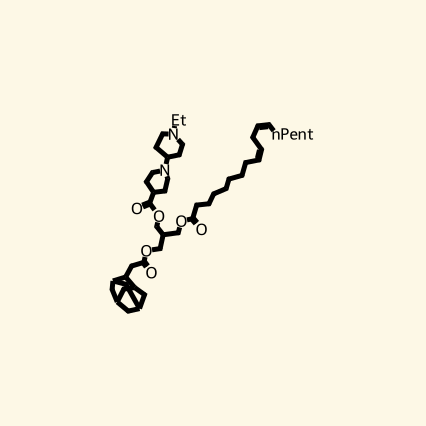 CCCCC/C=C\C/C=C\CCCCCCCC(=O)OCC(COC(=O)CC1C2CC3CC(C2)CC1C3)COC(=O)C1CCN(C2CCN(CC)CC2)CC1